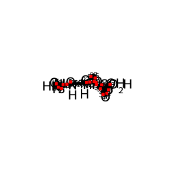 O=C(CCCCC1SC[C@@H]2NC(=O)N[C@H]12)NCCCCCNC(=O)CCSC(C(=O)Nc1ccc(-c2c3ccc(=O)cc-3oc3cc(O)ccc23)c(C(=O)O)c1)c1ccccc1